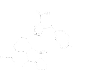 CC(C1C(C#N)C(n2cc(C(N)=O)c(Nc3ccc(F)cc3)n2)CCN1C(=O)O)N1CCCC1